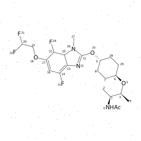 CC(=O)N[C@@H](C)[C@H](C)O[C@H]1CC[C@H](OC2=NC3=C(F)C=C(OCC(F)F)C(F)C3N2C)CC1